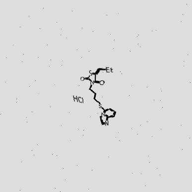 CCC=C1SC(=O)N(CCCCSc2cccc3nccn23)C1=O.Cl